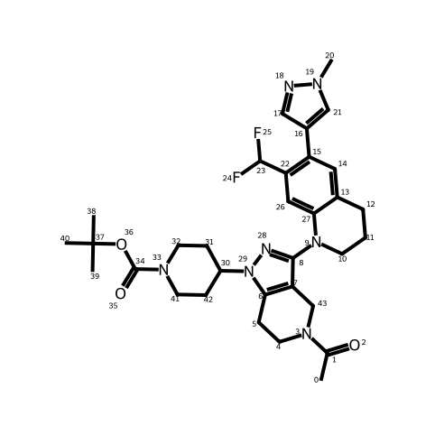 CC(=O)N1CCc2c(c(N3CCCc4cc(-c5cnn(C)c5)c(C(F)F)cc43)nn2C2CCN(C(=O)OC(C)(C)C)CC2)C1